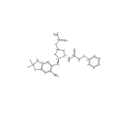 CC1(C)Cc2cc(N)c(O[C@H]3CN(CC(N)=O)C[C@@H]3NC(=O)OCc3ccccc3)cc2O1